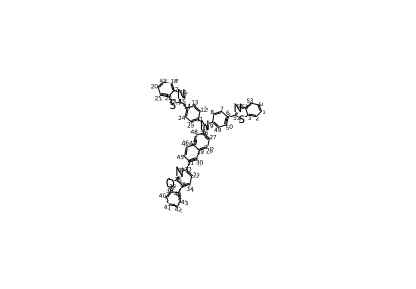 c1ccc2sc(-c3ccc(N(c4ccc(-c5nc6ccccc6s5)cc4)c4ccc5cc(-c6ccc7c(n6)oc6ccccc67)ccc5c4)cc3)nc2c1